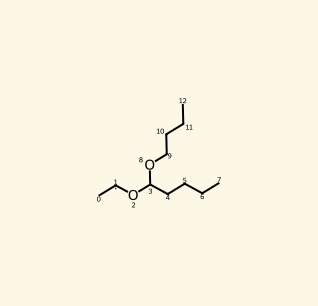 C[CH]OC(CCCC)OCCCC